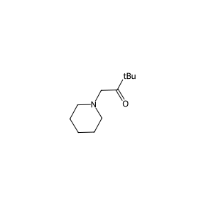 CC(C)(C)C(=O)CN1CCCCC1